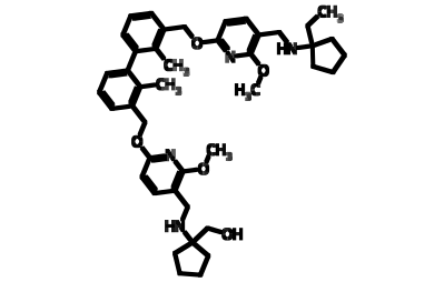 CCC1(NCc2ccc(OCc3cccc(-c4cccc(COc5ccc(CNC6(CO)CCCC6)c(OC)n5)c4C)c3C)nc2OC)CCCC1